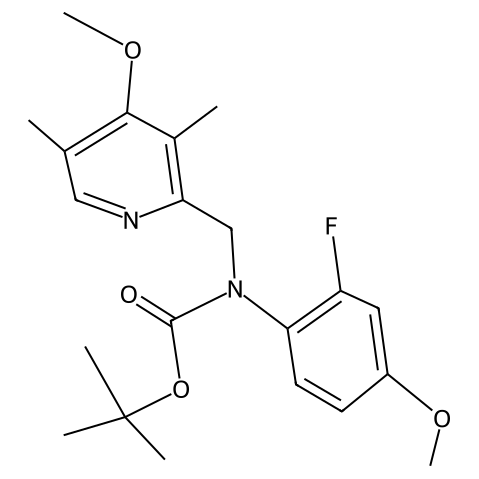 COc1ccc(N(Cc2ncc(C)c(OC)c2C)C(=O)OC(C)(C)C)c(F)c1